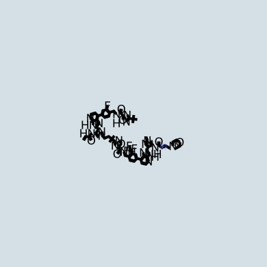 C=CC(=O)Nc1cn(CCC(C)(C)c2noc(C(=O)NCc3ccc(-c4ccnc5[nH]c(-c6nn(C)cc6NC(=O)/C=C/CN6CCOCC6)nc45)cc3C(F)(F)F)n2)nc1-c1nc2c(-c3ccc(CNC(=O)c4nc(C(C)(C)C)no4)c(F)c3)ccnc2[nH]1